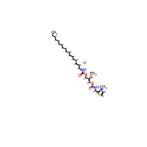 CCCCCCCCCCCCCCCCCCNC(=O)OCC(COC(=O)NCc1scc[n+]1C)OC.[I-]